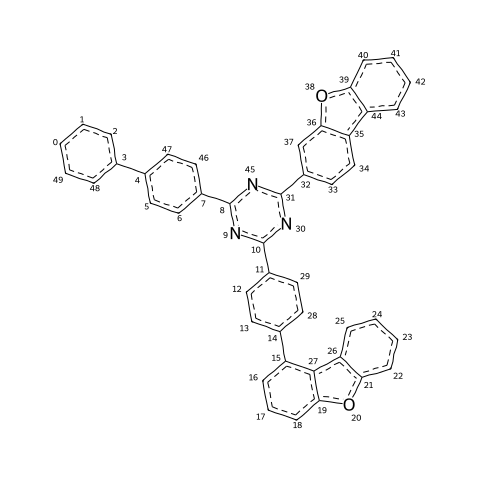 c1ccc(-c2ccc(-c3nc(-c4ccc(-c5cccc6oc7ccccc7c56)cc4)nc(-c4ccc5c(c4)oc4ccccc45)n3)cc2)cc1